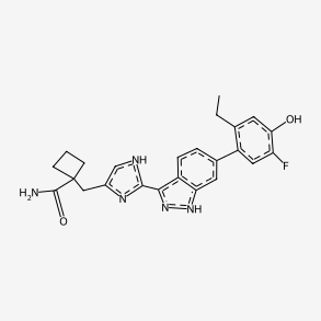 CCc1cc(O)c(F)cc1-c1ccc2c(-c3nc(CC4(C(N)=O)CCC4)c[nH]3)n[nH]c2c1